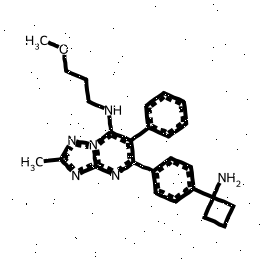 COCCCNc1c(-c2ccccc2)c(-c2ccc(C3(N)CCC3)cc2)nc2nc(C)nn12